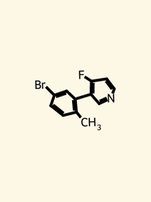 Cc1ccc(Br)cc1-c1cnccc1F